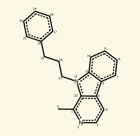 Cc1nccc2c3ccccc3n(CCCc3ccccc3)c12